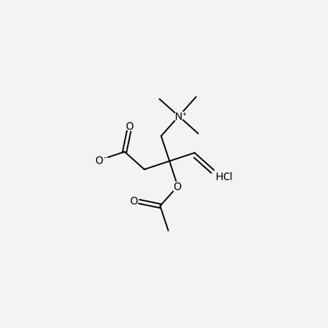 C=CC(CC(=O)[O-])(C[N+](C)(C)C)OC(C)=O.Cl